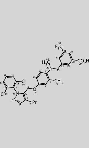 Cc1cc(OCc2c(C(C)C)cnn2-c2c(Cl)cccc2Cl)ccc1N(C)Cc1cc(C(=O)O)cc(C(F)(F)F)c1